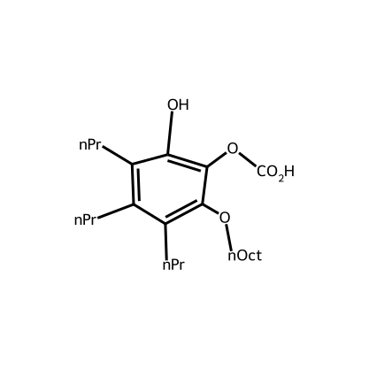 CCCCCCCCOc1c(CCC)c(CCC)c(CCC)c(O)c1OC(=O)O